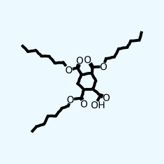 CCCCCCCOC(=O)C1CC(C(=O)OCCCCCCC)C(C(=O)OCCCCCCC)CC1C(=O)O